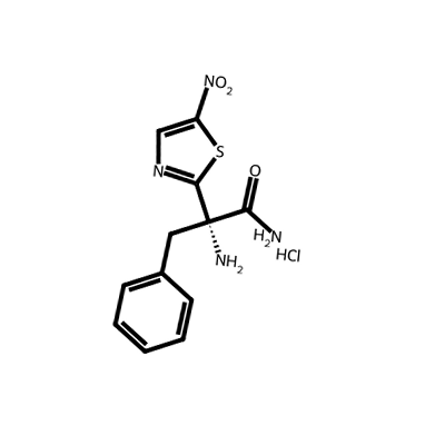 Cl.NC(=O)[C@@](N)(Cc1ccccc1)c1ncc([N+](=O)[O-])s1